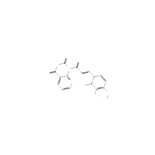 CCOC1=C(OC)C(C)C(/C=C/C(=O)n2c(=O)oc(=O)c3cccnc32)C=C1